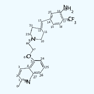 Cc1ccc2c(OCCN3CCC(=Cc4ccc(C(F)(F)F)c(N)c4)CC3)cccc2n1